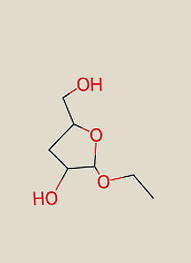 CCOC1OC(CO)CC1O